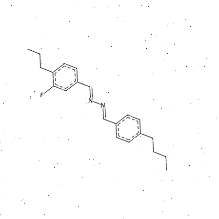 CCCCc1ccc(/C=N/N=C/c2ccc(CCC)c(F)c2)cc1